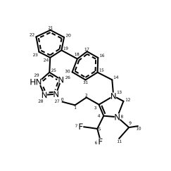 CCCC1=C(C(F)F)N(C(C)C)CN1Cc1ccc(-c2ccccc2-c2nnn[nH]2)cc1